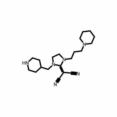 N#CC(C#N)=C1N(CCCN2CCCCC2)CCN1CC1CCNCC1